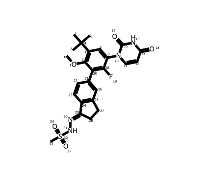 COc1c(C(C)(C)C)cc(-n2ccc(=O)[nH]c2=O)c(F)c1-c1ccc2c(c1)CC/C2=N\NS(C)(=O)=O